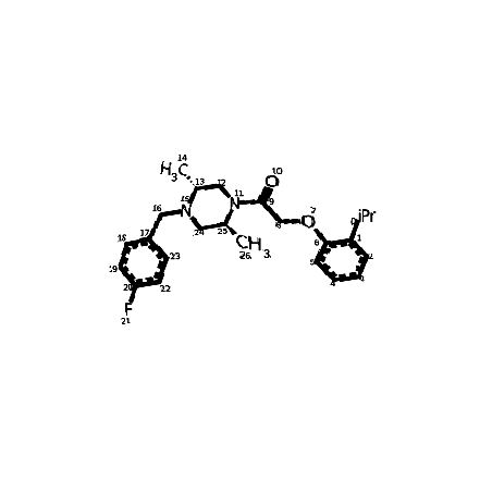 CC(C)c1ccccc1OCC(=O)N1C[C@@H](C)N(Cc2ccc(F)cc2)C[C@@H]1C